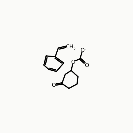 C=Cc1ccccc1.[O]C(=O)OC1CCCC(=O)C1